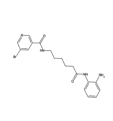 Nc1ccccc1NC(=O)CCCCCNC(=O)c1cncc(Br)c1